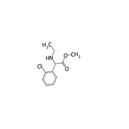 CCNC(C(=O)OC)c1ccccc1Cl